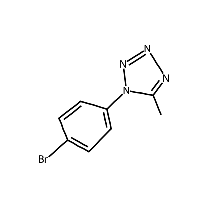 Cc1nnnn1-c1ccc(Br)cc1